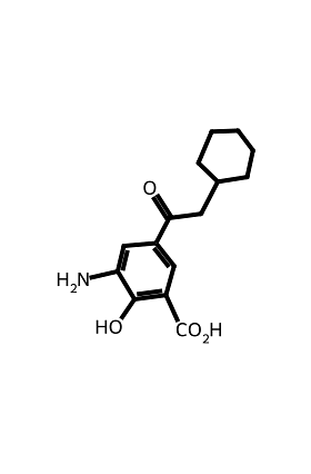 Nc1cc(C(=O)CC2CCCCC2)cc(C(=O)O)c1O